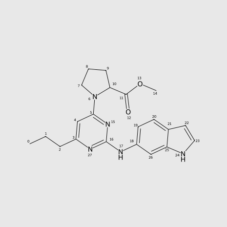 CCCc1cc(N2CCCC2C(=O)OC)nc(Nc2ccc3cc[nH]c3c2)n1